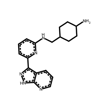 NC1CCC(CNc2cccc(-c3n[nH]c4ncccc34)n2)CC1